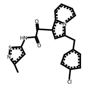 Cc1cc(NC(=O)C(=O)c2cc(Cc3ccc(Cl)cc3)n3ccccc23)sn1